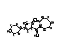 O=C(C1C=C(C2CCOCC2)SC1Cl)N1CCCCCC1